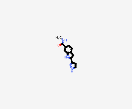 CNC(=O)c1ccc2cc(-c3cc[nH]n3)[nH]c2c1